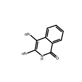 CCCc1[nH]c(=O)c2ccccc2c1CCC